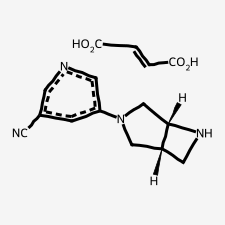 N#Cc1cncc(N2C[C@H]3CN[C@H]3C2)c1.O=C(O)/C=C/C(=O)O